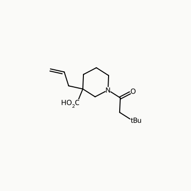 C=CCC1(C(=O)O)CCCN(C(=O)CC(C)(C)C)C1